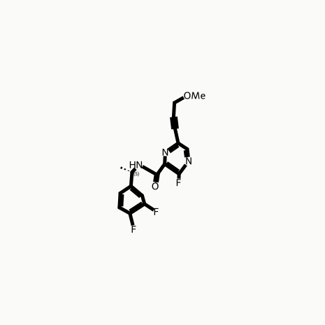 COCC#Cc1cnc(F)c(C(=O)N[C@@H](C)c2ccc(F)c(F)c2)n1